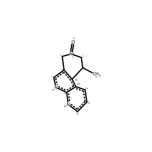 CC1C[N+](=O)Cc2cnc3ncccc3c21